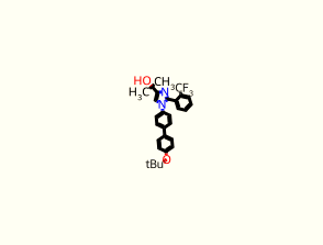 CC(C)(C)Oc1ccc(-c2ccc(-n3cc(C(C)(C)O)nc3-c3ccccc3C(F)(F)F)cc2)cc1